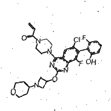 C=CC(=O)N1CCN(c2nc(OC3CN(C4CCOCC4)C3)nc3c(F)c(-c4c(O)cccc4F)c(Cl)cc23)CC1